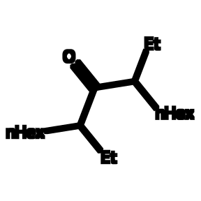 CCCCCCC(CC)C(=O)C(CC)CCCCCC